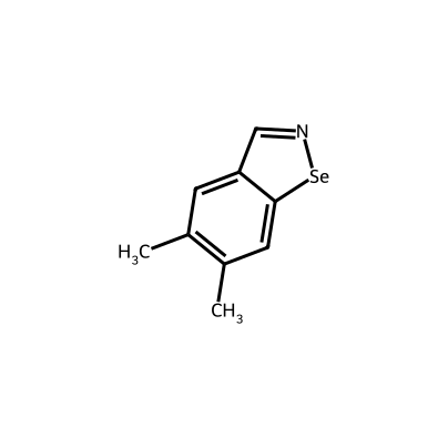 Cc1cc2cn[se]c2cc1C